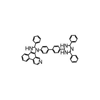 c1ccc(C2=NC(c3ccccc3)NC(c3ccc(-c4ccc(N5c6c(c7ccccc7c7ccncc67)NC5c5ccccc5)cc4)cc3)N2)cc1